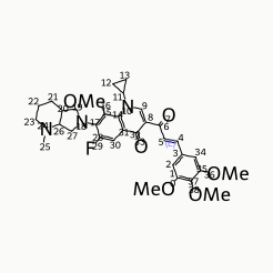 COc1cc(/C=C/C(=O)c2cn(C3CC3)c3c(OC)c(N4CC5CCCN(C)C5C4)c(F)cc3c2=O)cc(OC)c1OC